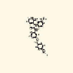 CC(C)(C)c1ccccc1Oc1ncccc1NC(=O)Nc1cccc(OCc2ccc(OC(F)(F)F)cc2)c1